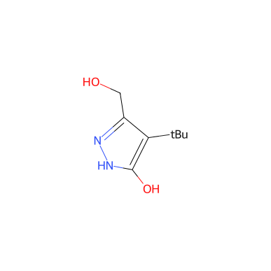 CC(C)(C)c1c(CO)n[nH]c1O